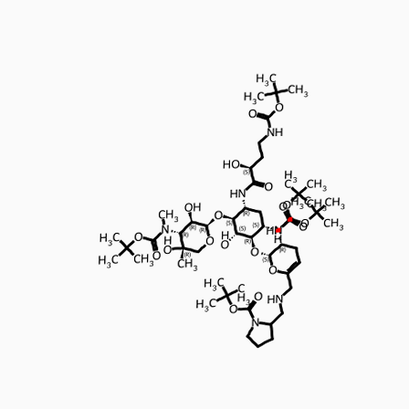 CN(C(=O)OC(C)(C)C)[C@@H]1[C@@H](O)[C@@H](O[C@@H]2[C@@H](O)[C@H](O[C@H]3OC(CNCC4CCCN4C(=O)OC(C)(C)C)=CC[C@H]3NC(=O)OC(C)(C)C)[C@@H](NC(=O)OC(C)(C)C)C[C@H]2NC(=O)[C@@H](O)CCNC(=O)OC(C)(C)C)OC[C@]1(C)O